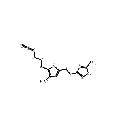 Cc1nc(CCc2cc(C)c(CCCN=[N+]=[N-])s2)cs1